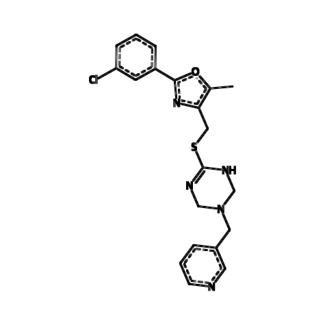 Cc1oc(-c2cccc(Cl)c2)nc1CSC1=NCN(Cc2cccnc2)CN1